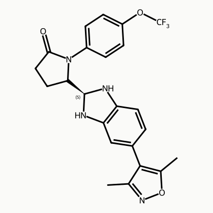 Cc1noc(C)c1-c1ccc2c(c1)N[C@@H](C1CCC(=O)N1c1ccc(OC(F)(F)F)cc1)N2